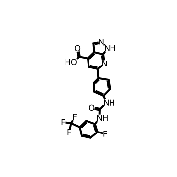 O=C(Nc1ccc(-c2cc(C(=O)O)c3cn[nH]c3n2)cc1)Nc1cc(C(F)(F)F)ccc1F